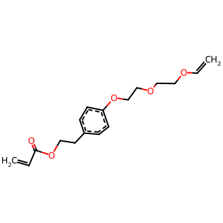 C=COCCOCCOc1ccc(CCOC(=O)C=C)cc1